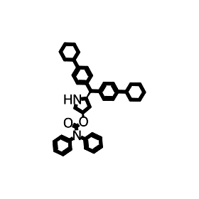 O=C(O[C@H]1CN[C@@H](C(c2ccc(C3CCCCC3)cc2)c2ccc(C3CCCCC3)cc2)C1)N(c1ccccc1)c1ccccc1